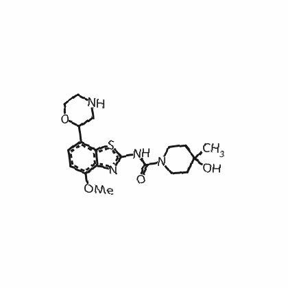 COc1ccc(C2CNCCO2)c2sc(NC(=O)N3CCC(C)(O)CC3)nc12